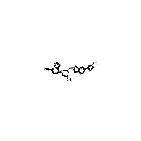 C[C@@H]1CN(c2ccc(C#N)n3nccc23)C[C@H](CN2Cc3ccc(-c4cn(C)cn4)cc3C2)O1